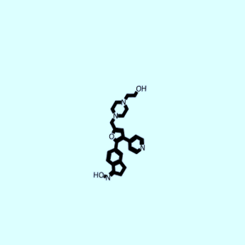 OCCN1CCN(Cc2cc(-c3ccncc3)c(-c3ccc4c(c3)CC/C4=N/O)o2)CC1